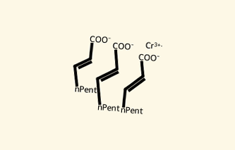 CCCCC/C=C/C(=O)[O-].CCCCC/C=C/C(=O)[O-].CCCCC/C=C/C(=O)[O-].[Cr+3]